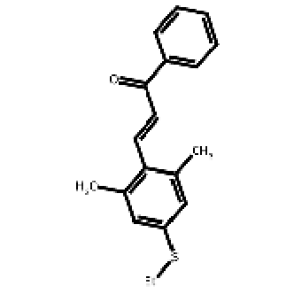 CCSc1cc(C)c(C=CC(=O)c2ccccc2)c(C)c1